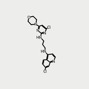 Clc1ccc2c(NCCCNc3nc(Cl)cc(N4CCOCC4)n3)ccnc2c1